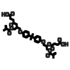 C=C(C)C(=O)OCC(COc1ccc(C(C)(C)c2ccc(OCC(COC(=O)C(=C)C)OC(=O)CCC(=O)O)cc2)cc1)CC(=O)CCC(=O)O